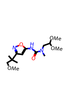 COCC(C)(C)c1cc(NC(=O)N(C)CC(OC)OC)on1